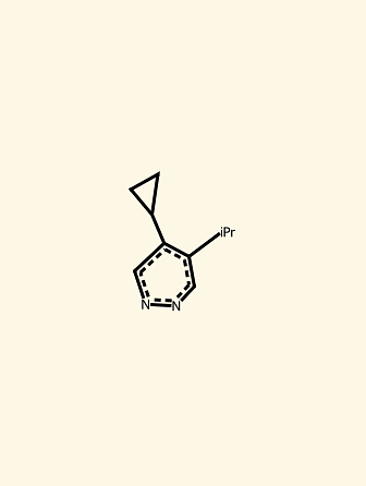 CC(C)c1cnncc1C1CC1